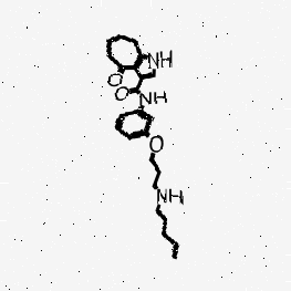 CCCCCNCCCOc1cccc(NC(=O)c2c[nH]c3c2C(=O)CCCC3)c1